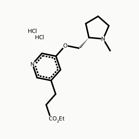 CCOC(=O)CCc1cncc(OC[C@@H]2CCCN2C)c1.Cl.Cl